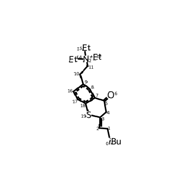 CCC(C)C/C=C1\CC(=O)c2cc(CC[N+](CC)(CC)CC)ccc2S1